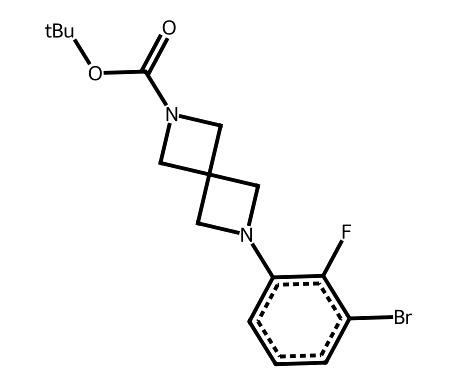 CC(C)(C)OC(=O)N1CC2(C1)CN(c1cccc(Br)c1F)C2